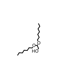 CCCCCCCOC(CO)OCCCCCCC